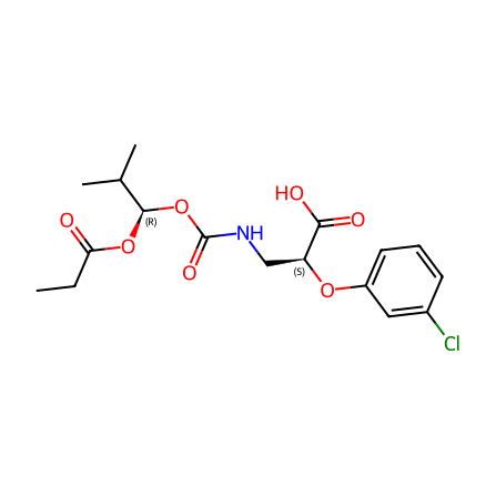 CCC(=O)O[C@H](OC(=O)NC[C@H](Oc1cccc(Cl)c1)C(=O)O)C(C)C